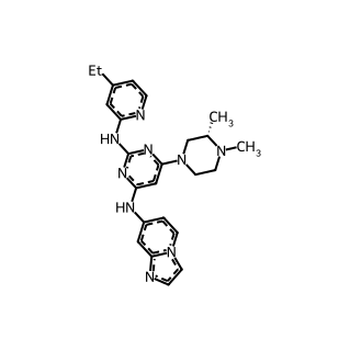 CCc1ccnc(Nc2nc(Nc3ccn4ccnc4c3)cc(N3CCN(C)[C@@H](C)C3)n2)c1